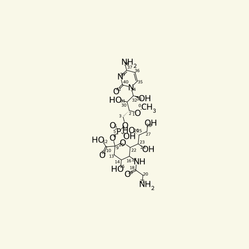 CO[C@H](COP(=O)(O)OC1(C(=O)O)CC(O)C(NC(=O)CN)C(C(O)[C@H](O)CO)O1)C(O)[C@H](O)n1ccc(N)nc1=O